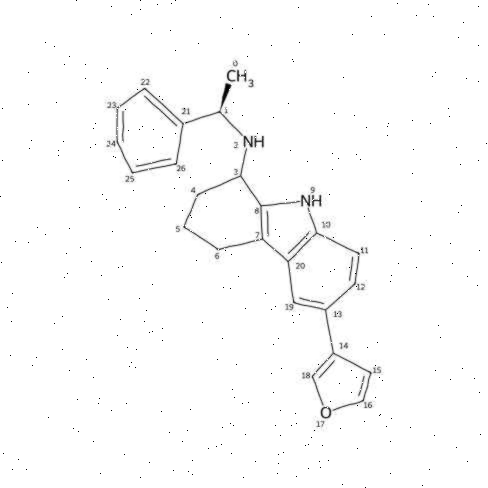 C[C@@H](NC1CCCc2c1[nH]c1ccc(-c3ccoc3)cc21)c1ccccc1